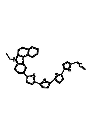 C=C=Cc1ccc(-c2ccc(-c3ccc(-c4ccc(-c5ccc6c(c5)c5c7ccccc7ccc5n6CC)s4)s3)s2)s1